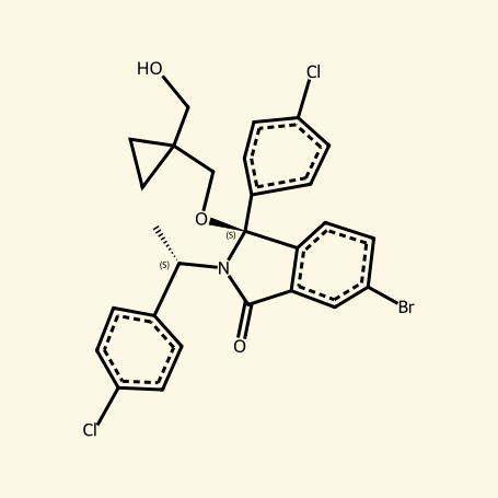 C[C@@H](c1ccc(Cl)cc1)N1C(=O)c2cc(Br)ccc2[C@@]1(OCC1(CO)CC1)c1ccc(Cl)cc1